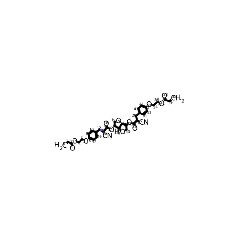 C=CC(=O)OCCOc1ccc(/C=C(\C#N)C(=O)O[C@@H]2COC3[C@@H](OC(=O)C(C#N)Cc4ccc(OCCOC(=O)C=C)cc4)CO[C@@H]32)cc1